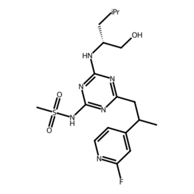 CC(C)C[C@H](CO)Nc1nc(CC(C)c2ccnc(F)c2)nc(NS(C)(=O)=O)n1